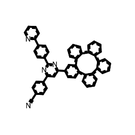 N#Cc1ccc(-c2cc(-c3ccc4c5ccccc5c5ccccc5c5ccccc5c5ccccc5c4c3)nc(-c3ccc(-c4ccccn4)cc3)n2)cc1